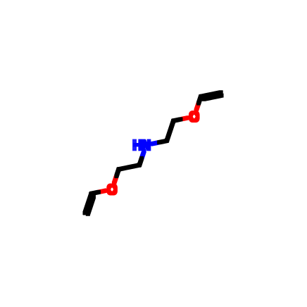 C=COCCNCCOC=C